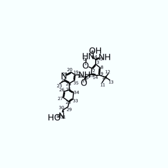 COc1c(C(=N)NO)cc(C(C)(C)C)cc1C(=O)Nc1cnc(C)c(-c2ccc(CC=NO)cc2)c1